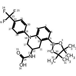 CC1(C)OB(c2cccc3c2CC(NC(=O)O)CN3c2ccc(C(F)(F)F)cc2)OC1(C)C